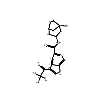 O=C(N[C@@H]1C[C@H]2CCN(C2)C1)c1cc2c(C(=O)C(F)(F)F)coc2cn1